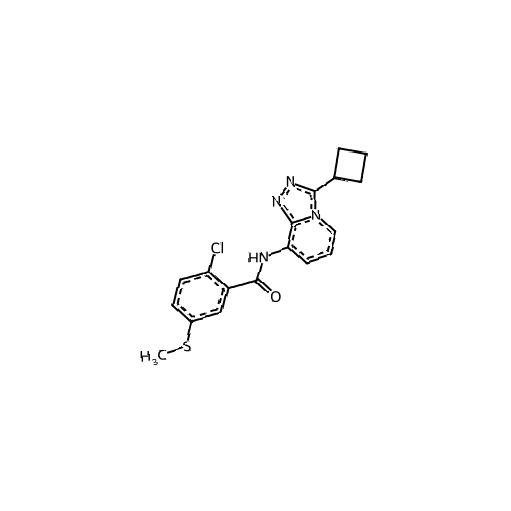 CSc1ccc(Cl)c(C(=O)Nc2cccn3c(C4CCC4)nnc23)c1